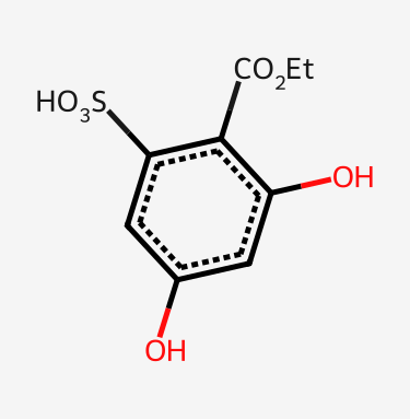 CCOC(=O)c1c(O)cc(O)cc1S(=O)(=O)O